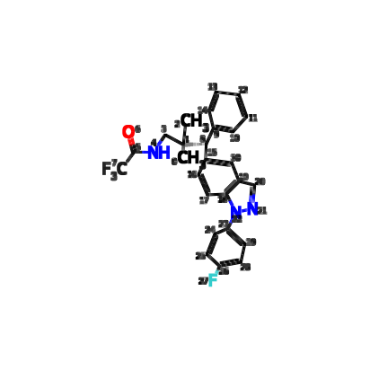 CC(C)(CNC(=O)C(F)(F)F)[C@H](c1ccccc1)c1ccc2c(cnn2-c2ccc(F)cc2)c1